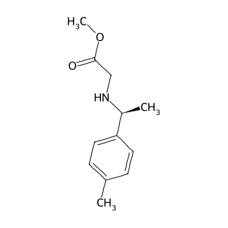 COC(=O)CN[C@@H](C)c1ccc(C)cc1